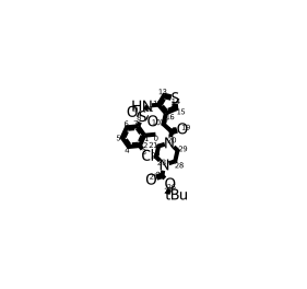 Cc1c(Cl)cccc1S(=O)(=O)Nc1cscc1CC(=O)N1CCN(C(=O)OC(C)(C)C)CC1